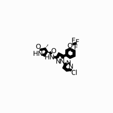 C[C@H]1C(=O)NC[C@@H]1C(=O)Nc1cc(-c2cccc(OC(F)(F)F)c2)n(-c2ccc(Cl)nn2)n1